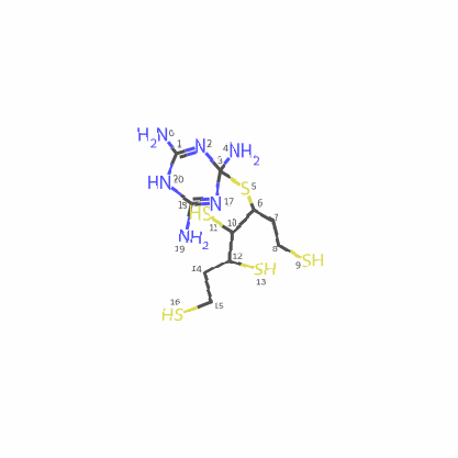 NC1=NC(N)(SC(CCS)C(S)C(S)CCS)N=C(N)N1